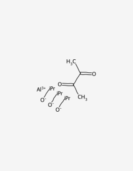 CC(=O)C(C)=O.CC(C)[O-].CC(C)[O-].CC(C)[O-].[Al+3]